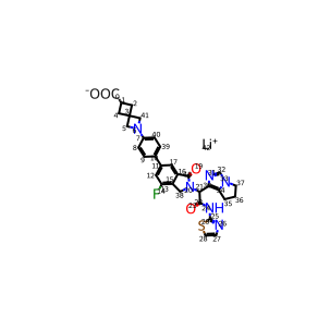 O=C([O-])C1CC2(C1)CN(c1ccc(-c3cc(F)c4c(c3)C(=O)N(C(C(=O)Nc3nccs3)c3ncn5c3CCC5)C4)cc1)C2.[Li+]